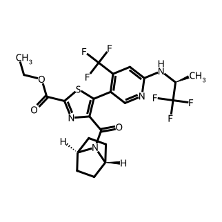 CCOC(=O)c1nc(C(=O)N2[C@H]3CC[C@H]2CC3)c(-c2cnc(N[C@@H](C)C(F)(F)F)cc2C(F)(F)F)s1